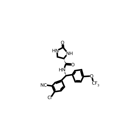 N#Cc1cc([C@H](NC(=O)[C@@H]2CNC(=O)N2)c2ccc(OC(F)(F)F)cc2)ccc1Cl